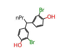 CCCC(c1ccc(O)c(Br)c1)c1ccc(O)c(Br)c1